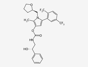 Cc1c(OC(=O)NC[C@@H](O)c2ccccc2)cc(-c2cc(C(F)(F)F)ccc2C(F)(F)F)n1C[C@H]1CCCO1